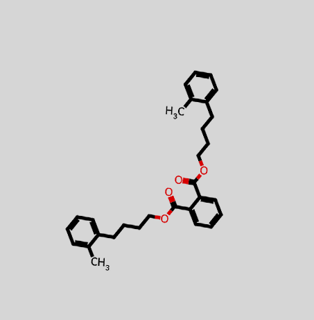 Cc1ccccc1CCCCOC(=O)c1ccccc1C(=O)OCCCCc1ccccc1C